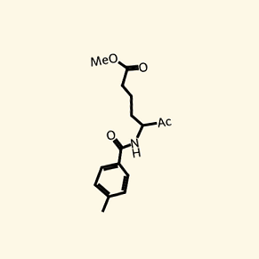 COC(=O)CCCC(NC(=O)c1ccc(C)cc1)C(C)=O